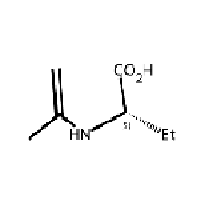 C=C(C)N[C@@H](CC)C(=O)O